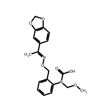 COCN(C(=O)O)c1ccccc1CON=C(C)c1ccc2c(c1)OCO2